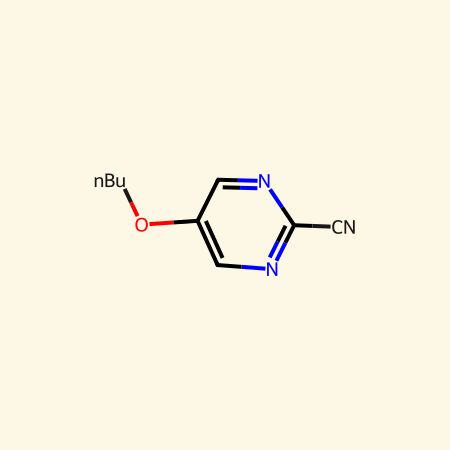 CCCCOc1cnc(C#N)nc1